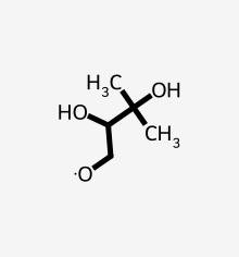 CC(C)(O)C(O)C[O]